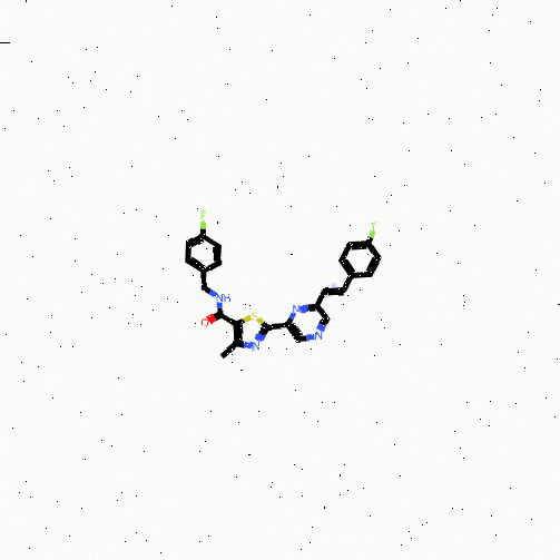 Cc1nc(-c2cncc(/C=C/c3ccc(F)cc3)n2)sc1C(=O)NCc1ccc(F)cc1